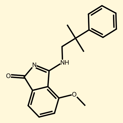 COc1cccc2c1C(NCC(C)(C)c1ccccc1)=NC2=O